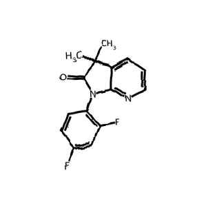 CC1(C)C(=O)N(c2ccc(F)cc2F)c2ncccc21